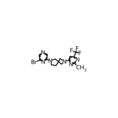 Cc1nc(N2CC3(CCN(c4cncc(Br)n4)C3)C2)cc(C(F)(F)F)n1